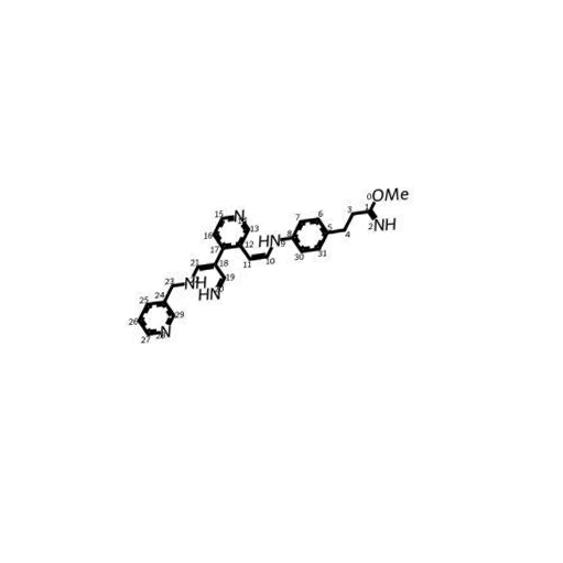 COC(=N)CCc1ccc(N/C=C\c2cnccc2/C(C=N)=C/NCc2cccnc2)cc1